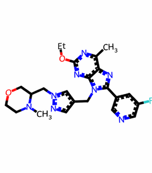 CCOc1nc(C)c2nc(-c3cncc(F)c3)n(Cc3cnn(CC4COCCN4C)c3)c2n1